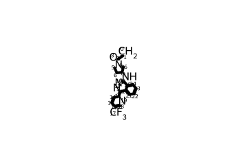 C=CC(=O)N1CCC(Nc2nnc(-c3ccc(C(F)(F)F)cn3)c3ccccc23)C1